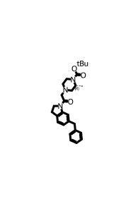 C[C@@H]1CN(CC(=O)N2CCc3ccc(Cc4ccccc4)cc32)CCN1C(=O)OC(C)(C)C